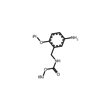 CC(C)Oc1ccc(N)cc1CNC(=O)OC(C)(C)C